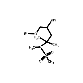 CCCC(COC(C)C)CC(C)(C)N(C)S(C)(=O)=O